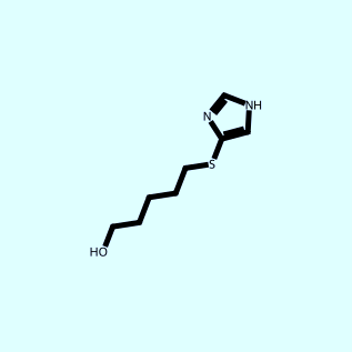 OCCCCCSc1c[nH]cn1